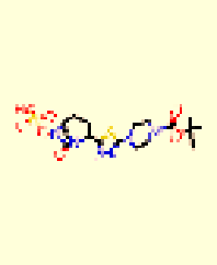 CC(C)(C)OC(=O)N1CCN(c2nnc(C3CCC4CN3C(=O)N4OS(=O)(=O)O)s2)CC1